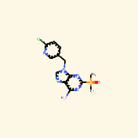 CP(C)(=O)c1nc(N)c2ncn(Cc3ccc(Cl)nc3)c2n1